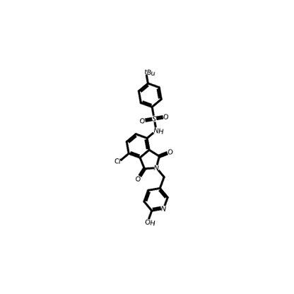 CC(C)(C)c1ccc(S(=O)(=O)Nc2ccc(Cl)c3c2C(=O)N(Cc2ccc(O)nc2)C3=O)cc1